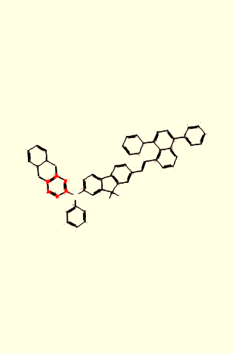 CCC1(CC)c2cc(/C=C/c3cccc4c(-c5ccccc5)ccc(C5C=CC=CC5)c34)ccc2-c2ccc(N(c3ccccc3)C3C=CC4=C(C3)C3C5C=CC=CC5C4C4C=CC=CC43)cc21